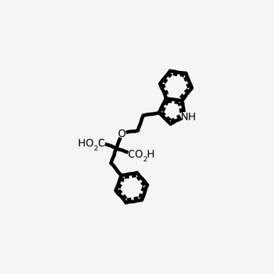 O=C(O)C(Cc1ccccc1)(OCCc1c[nH]c2ccccc12)C(=O)O